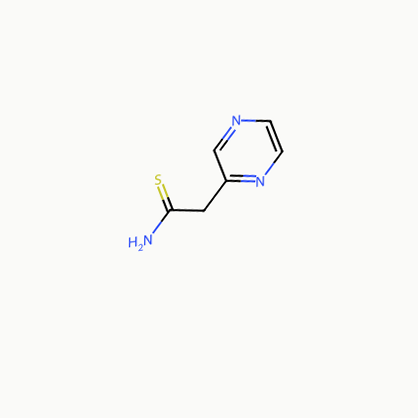 NC(=S)Cc1cnccn1